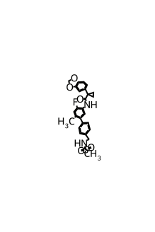 Cc1cc(F)c(NC(=O)C2(c3ccc4c(c3)OCO4)CC2)cc1-c1ccc(CNS(C)(=O)=O)cc1